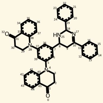 O=C1CCN(c2cc(C3CC(c4ccccc4)=NC(c4ccccc4)N3)cc(N3CCC(=O)c4ccccc43)c2)c2ccccc21